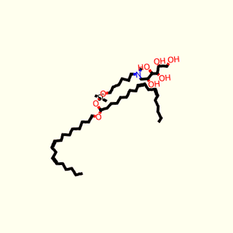 CCCCC/C=C\C/C=C\CCCCCCCCOC(CCCCCCC/C=C\C/C=C\CCCCC)O[Si](C)(C)OCCCCCCN(C)CC(O)C(O)C(O)C(O)CO